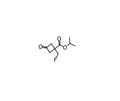 CC(C)OC(=O)C1(CF)CC(=O)C1